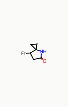 CCC1CC(=O)NC12CC2